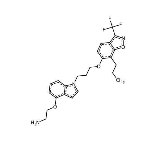 CCCc1c(OCCCn2ccc3c(OCCN)cccc32)ccc2c(C(F)(F)F)noc12